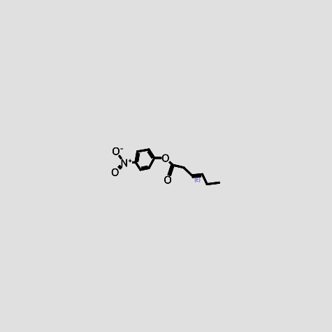 CC/C=C/CC(=O)Oc1ccc([N+](=O)[O-])cc1